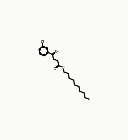 CCCCCCCCCCOC(=O)CCC(=O)c1cccc(Cl)c1